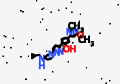 COc1cc(-c2ccc(-c3ccc(N4CCC(NCC5CC5)C4)nn3)c(O)c2)nc(C)n1